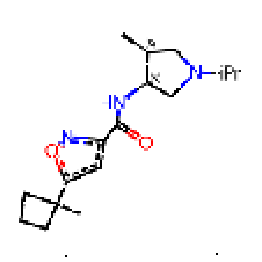 CC(C)N1C[C@H](C)[C@H](NC(=O)c2cc(C3(C)CCC3)on2)C1